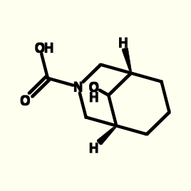 O=C(O)N1C[C@H]2CCC[C@@H](C1)C2O